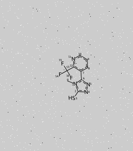 Cn1c(S)nnc1-c1cccnc1C(F)(F)F